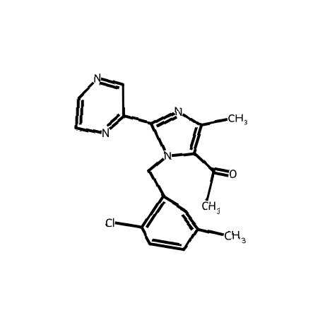 CC(=O)c1c(C)nc(-c2cnccn2)n1Cc1cc(C)ccc1Cl